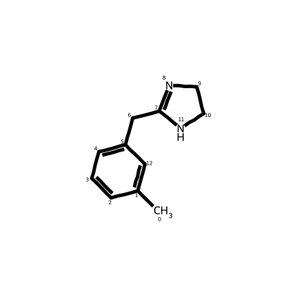 Cc1cccc(CC2=NCCN2)c1